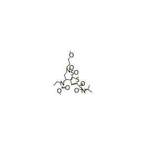 CCN(C(=O)OC)[C@H]1CN(CCCOC)S(=O)(=O)c2sc(S(=O)(=O)N=C(C)C)cc21